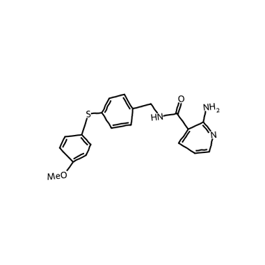 COc1ccc(Sc2ccc(CNC(=O)c3cccnc3N)cc2)cc1